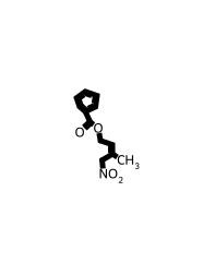 CC(=CCOC(=O)c1ccccc1)C[N+](=O)[O-]